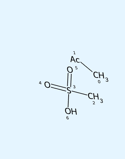 CC(C)=O.CS(=O)(=O)O